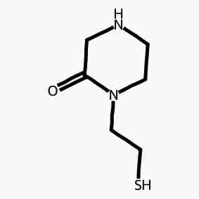 O=C1CNCCN1CCS